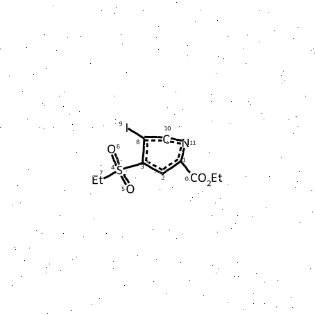 CCOC(=O)c1cc(S(=O)(=O)CC)c(I)cn1